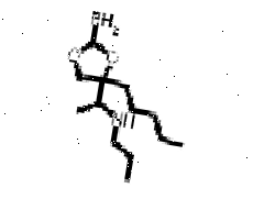 BC1OCC(CCCCC)(C(C)NCCC)O1